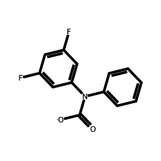 [O]C(=O)N(c1ccccc1)c1cc(F)cc(F)c1